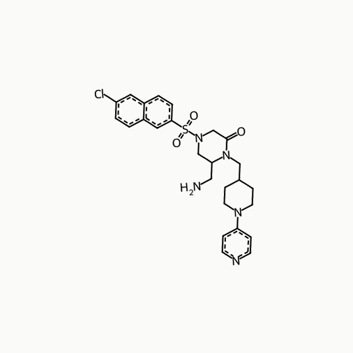 NCC1CN(S(=O)(=O)c2ccc3cc(Cl)ccc3c2)CC(=O)N1CC1CCN(c2ccncc2)CC1